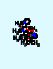 CCC(C)C(C(CC(=O)N1CCCC1C(OC)C(C)C)OC)N(C)C(=O)CC1CCCCN1C